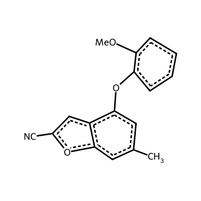 COc1ccccc1Oc1cc(C)cc2oc(C#N)cc12